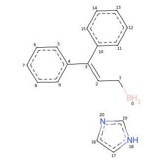 BCC=C(c1ccccc1)c1ccccc1.c1c[nH]cn1